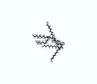 CCCCCCCCCCN(CCCCCCCCC)C(C)C(=O)N1CCN(C(=O)CN(CCCCCCCCC)CCN(CCCCCCCCC)CCCCCCCCC)CC1